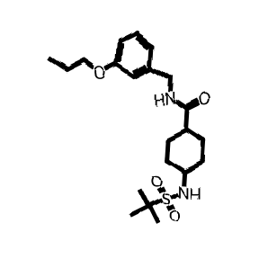 CCCOc1cccc(CNC(=O)C2CCC(NS(=O)(=O)C(C)(C)C)CC2)c1